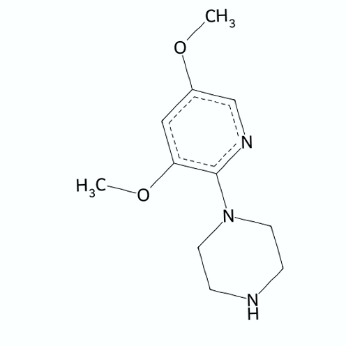 COc1cnc(N2CCNCC2)c(OC)c1